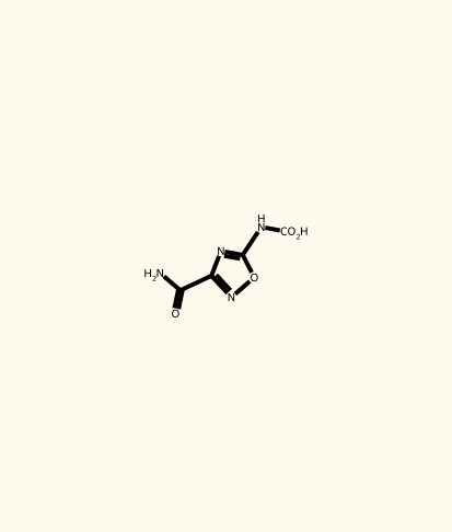 NC(=O)c1noc(NC(=O)O)n1